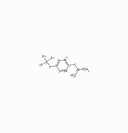 CN(C)Cc1ncc(CC(F)(F)F)cn1